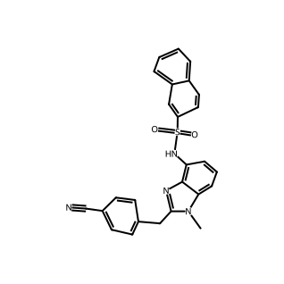 Cn1c(Cc2ccc(C#N)cc2)nc2c(NS(=O)(=O)c3ccc4ccccc4c3)cccc21